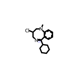 CN1CC(Cl)C/N=C(/C2CCCCC2)c2ccccc21